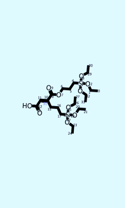 CCO[Si](CCCOC(=O)/C(=C/C(=O)O)CCC[Si](OCC)(OCC)OCC)(OCC)OCC